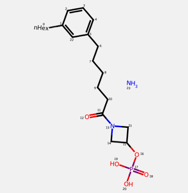 CCCCCCc1cccc(CCCCCC(=O)N2CC(OP(=O)(O)O)C2)c1.N